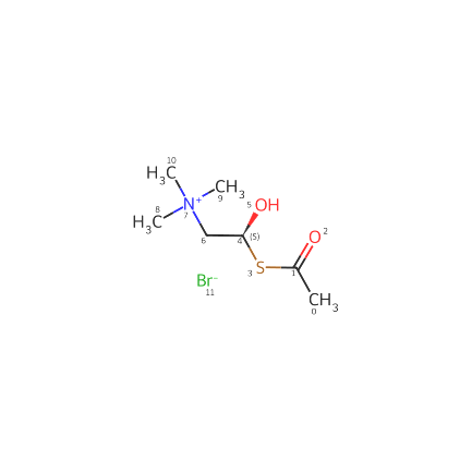 CC(=O)S[C@H](O)C[N+](C)(C)C.[Br-]